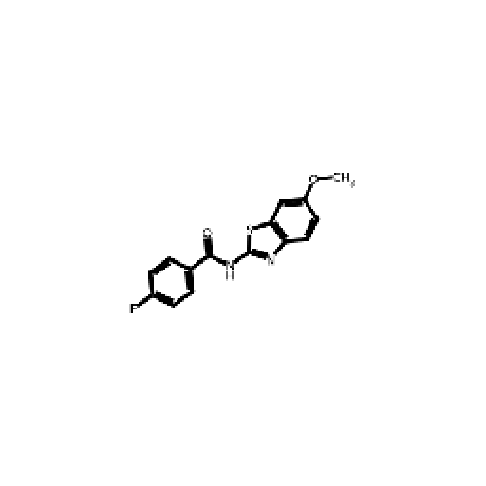 COc1ccc2nc(NC(=O)c3ccc(F)cc3)sc2c1